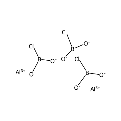 [Al+3].[Al+3].[O-]B([O-])Cl.[O-]B([O-])Cl.[O-]B([O-])Cl